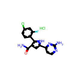 Cl.NC(=O)c1cc(-c2ccnc(N)n2)[nH]c1-c1ccc(Cl)cc1F